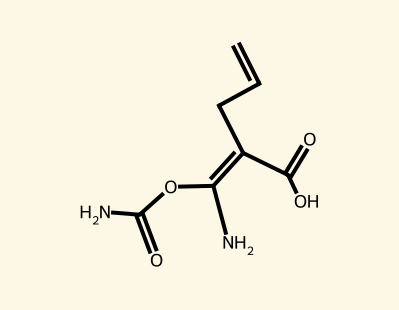 C=CCC(C(=O)O)=C(N)OC(N)=O